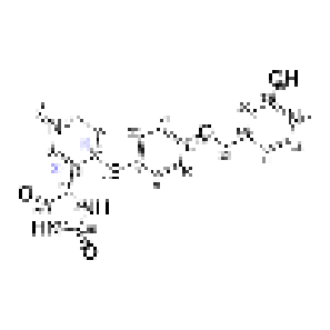 C=N/C=C(\C(=C/C)Sc1ccc(OCc2ccnc(O)c2)cc1)C1NC(=O)NC1=O